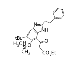 CCOC(=O)CC(=O)c1c(O[SiH](C)C)c(C(C)(C)C)cc2nc(CCc3ccccc3)[nH]c12